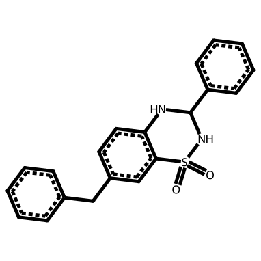 O=S1(=O)NC(c2ccccc2)Nc2ccc(Cc3ccccc3)cc21